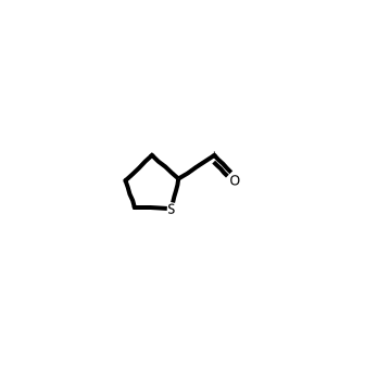 O=[C]C1CCCS1